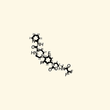 O=C(NC[C@H]1CN(c2cc(F)c(N3CCNN(C(=O)Nc4ccccn4)CC3)c(F)c2)C(=O)O1)C(F)F